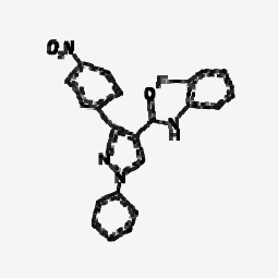 O=C(Nc1ccccc1F)c1cn(-c2ccccc2)nc1-c1ccc([N+](=O)[O-])cc1